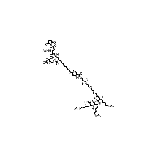 CNCCCC[C@H](NC(=O)[C@H](CCCCNC)NC(=O)[C@H](CCCCNC)NC(=O)COCCOCCNC(=O)CCNC(=O)c1ccc(SSCCCCCCN(CCNC(=O)[C@H](CC(=O)ON2C(=O)CCC2=O)NC(C)=O)C(=O)OCc2oc(=O)oc2C)nc1)C(N)=O